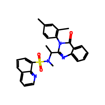 Cc1ccc(-n2c(C(C)N(C)S(=O)(=O)c3cccc4cccnc34)nc3ccccc3c2=O)c(C)c1